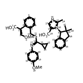 CO/C=C(/C(=O)O)c1ccccc1CSC(=Nc1ccc(OC)cc1)C1CC1.Cc1ncc(C(=O)O)n1C1c2ccccc2CC1(C)C